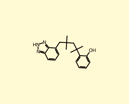 CC(C)(Cc1cccc2n[nH]nc12)CC(C)(C)c1ccccc1O